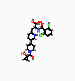 O=C(N[C@@H](Cc1ccc(C2=CCN(C(=O)C3(O)CC3)CC2)cn1)C(=O)O)c1c(Cl)cccc1Cl